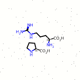 N=C(N)NCCC[C@H](N)C(=O)O.O=C(O)[C@@H]1CCCN1